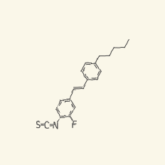 CCCCCc1ccc(/C=C/c2ccc(N=C=S)c(F)c2)cc1